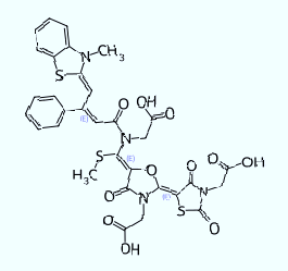 CS/C(=c1/o/c(=C2/SC(=O)N(CC(=O)O)C2=O)n(CC(=O)O)c1=O)N(CC(=O)O)C(=O)/C=C(\C=C1Sc2ccccc2N1C)c1ccccc1